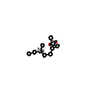 c1ccc(-c2ccc(-c3cc(-c4cccc(-c5cccc(-c6ccc7c(c6)-c6ccccc6C76c7ccccc7N(c7ccccc7)c7ccccc76)c5)c4)nc(-c4ccccc4)n3)cc2)cc1